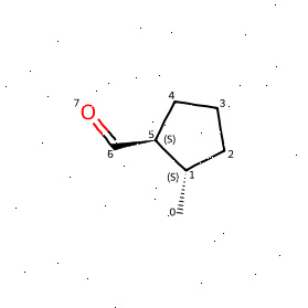 C[C@H]1CCC[C@@H]1C=O